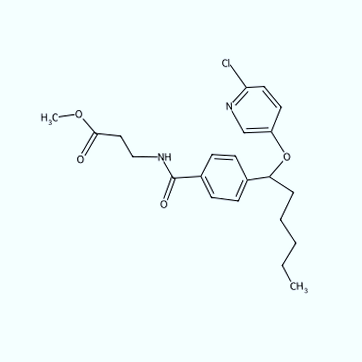 CCCCCC(Oc1ccc(Cl)nc1)c1ccc(C(=O)NCCC(=O)OC)cc1